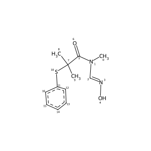 CN(C=NO)C(=O)C(C)(C)Sc1ccccc1